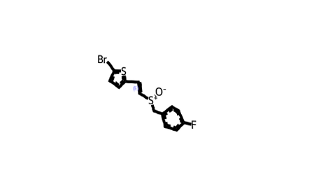 [O-][S+](/C=C/c1ccc(Br)s1)Cc1ccc(F)cc1